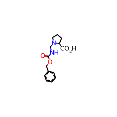 O=C(NCN1CCCC1C(=O)O)OCc1ccccc1